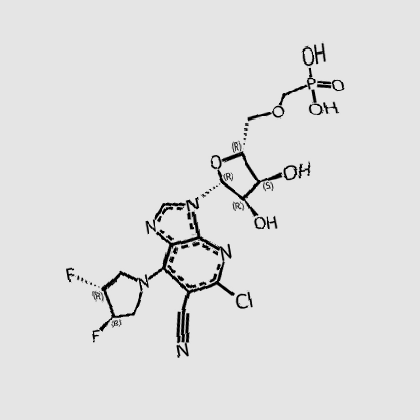 N#Cc1c(Cl)nc2c(ncn2[C@@H]2O[C@H](COCP(=O)(O)O)[C@@H](O)[C@H]2O)c1N1C[C@@H](F)[C@H](F)C1